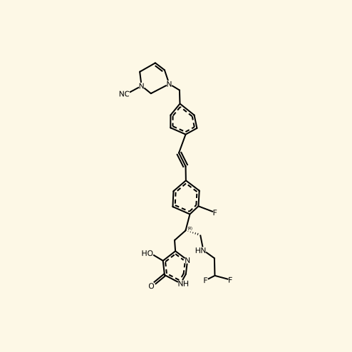 N#CN1CC=CN(Cc2ccc(C#Cc3ccc([C@H](CNCC(F)F)Cc4nc[nH]c(=O)c4O)c(F)c3)cc2)C1